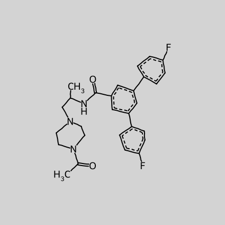 CC(=O)N1CCN(CC(C)NC(=O)c2cc(-c3ccc(F)cc3)cc(-c3ccc(F)cc3)c2)CC1